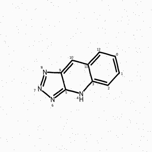 c1ccc2[nH]c3nnnc-3cc2c1